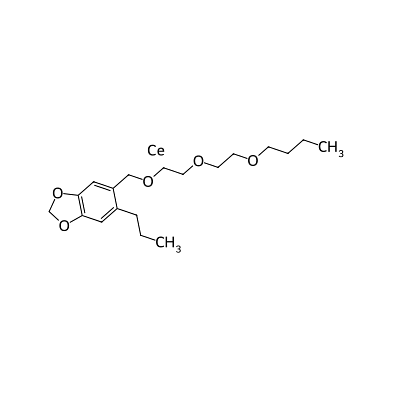 CCCCOCCOCCOCc1cc2c(cc1CCC)OCO2.[Ce]